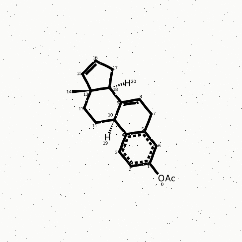 CC(=O)Oc1ccc2c(c1)CC=C1[C@@H]2CC[C@]2(C)C=CC[C@@H]12